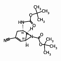 CC(C)(C)OC(=O)N[C@H]1CC(C#N)=C[C@H]2[C@@H]1N2C(=O)OC(C)(C)C